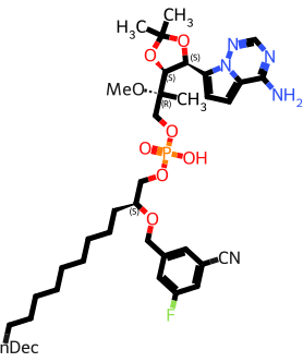 CCCCCCCCCCCCCCCCCCC[C@@H](COP(=O)(O)OC[C@@](C)(OC)[C@H]1OC(C)(C)O[C@H]1c1ccc2c(N)ncnn12)OCc1cc(F)cc(C#N)c1